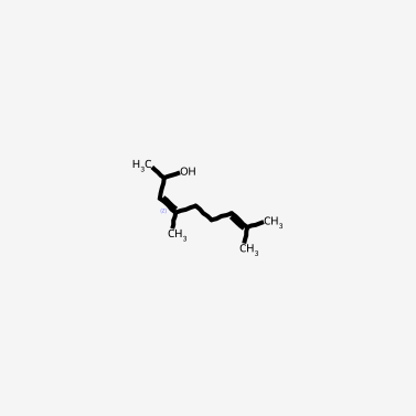 CC(C)=CCC/C(C)=C\C(C)O